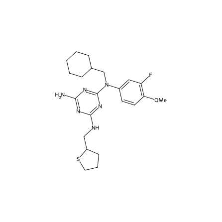 COc1ccc(N(CC2CCCCC2)c2nc(N)nc(NCC3CCCS3)n2)cc1F